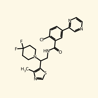 Cc1ncsc1C(CNC(=O)c1cc(-c2cnccn2)ccc1Cl)N1CCC(F)(F)CC1